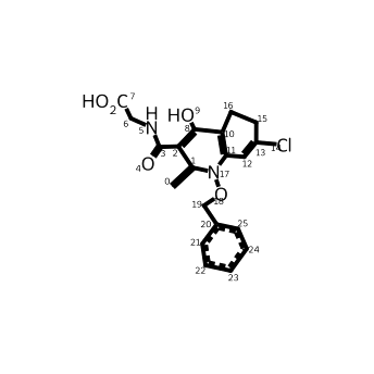 C=C1C(C(=O)NCC(=O)O)=C(O)C2=C(C=C(Cl)CC2)N1OCc1ccccc1